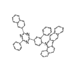 c1ccc(-c2nc(-c3ccc(-n4c5cc6ccccc6cc5c5ccc6ccccc6c54)c(-c4ccccc4)c3)nc(-c3ccc4ccccc4c3)n2)cc1